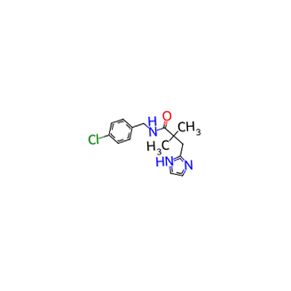 CC(C)(Cc1ncc[nH]1)C(=O)NCc1ccc(Cl)cc1